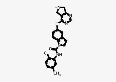 Cc1ccc(Cl)c(NC(=O)n2ccc3cc(Oc4ncnc5c4CNC5)ccc32)c1